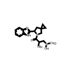 CCCCC(CN(O)C=O)C(=O)N1CC2(CC2)CC1c1nc2ccccc2[nH]1